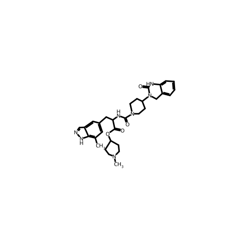 Cc1cc(CC(NC(=O)N2CCC(N3Cc4ccccc4NC3=O)CC2)C(=O)OC2CCN(C)CC2)cc2cn[nH]c12